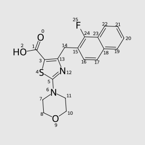 O=C(O)c1sc(N2CCOCC2)nc1Cc1ccc2ccccc2c1F